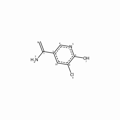 C=C(N)c1cnc(O)c(Cl)c1